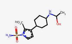 CC(O)NC1CCC(c2ccn(S(N)(=O)=O)c2C(=O)O)CC1